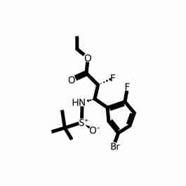 CCOC(=O)[C@H](F)[C@@H](N[S@+]([O-])C(C)(C)C)c1cc(Br)ccc1F